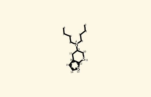 CCCCN(CCCC)C1CSc2sccc2C1